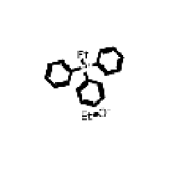 CC[O-].CC[P+](c1ccccc1)(c1ccccc1)c1ccccc1